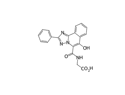 O=C(O)CNC(=O)c1c(O)c2ccccc2c2nc(-c3ccccc3)nn12